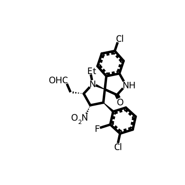 CCN1[C@@H](CC=O)[C@@H]([N+](=O)[O-])[C@H](c2cccc(Cl)c2F)[C@]12C(=O)Nc1cc(Cl)ccc12